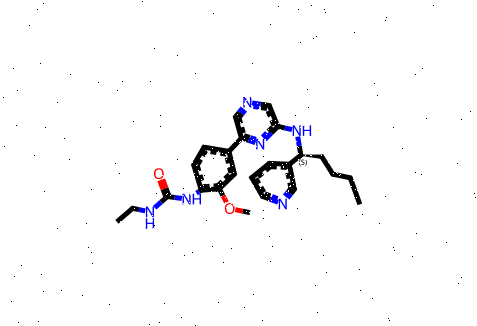 CCCC[C@H](Nc1cncc(-c2ccc(NC(=O)NCC)c(OC)c2)n1)c1cccnc1